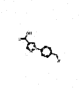 O=C(O)c1cnn(-c2ccc(CBr)cc2)c1